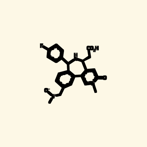 Cn1cc2c(cc1=O)[C@H](CC(=O)O)NC(c1ccc(F)cc1)c1ccc(C[S+](C)[O-])cc1-2